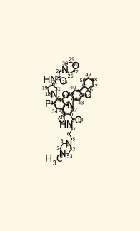 CN1CCN(CCCNC(=O)c2cn3c4c(c(N5CC[C@@H](NC(=O)CN6CCOCC6)C5)c(F)cc4c2=O)Oc2cc4c(cc2-3)oc2ccccc24)CC1